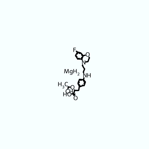 CC(C)OC(Cc1ccc(NCCCN2CCOc3cc(F)ccc32)cc1)C(=O)O.[MgH2]